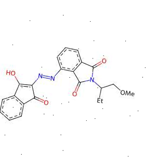 CCC(COC)N1C(=O)c2cccc(N=NC3=C(O)c4ccccc4C3=O)c2C1=O